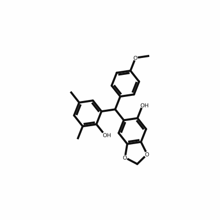 COc1ccc(C(c2cc3c(cc2O)OCO3)c2cc(C)cc(C)c2O)cc1